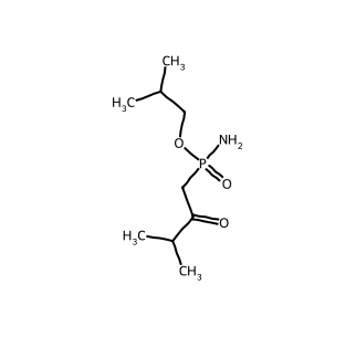 CC(C)COP(N)(=O)CC(=O)C(C)C